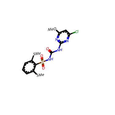 COc1cc(Cl)nc(NC(=O)NS(=O)(=O)c2c(SC)cccc2SC)n1